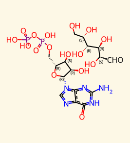 Nc1nc2c(ncn2[C@@H]2O[C@H](COP(=O)(O)OP(=O)(O)O)[C@@H](O)[C@H]2O)c(=O)[nH]1.O=C[C@@H](O)[C@H](O)[C@H](O)[C@@H](O)CO